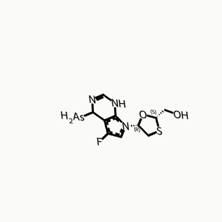 OC[C@H]1O[C@@H](n2cc(F)c3c2NC=NC3[AsH2])CS1